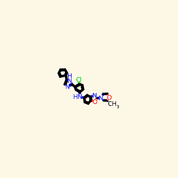 C[C@H]1CN(c2nc3cc(Nc4ccc(Cl)c(-c5ncc(-c6ccccc6)[nH]5)c4)ccc3o2)CCO1